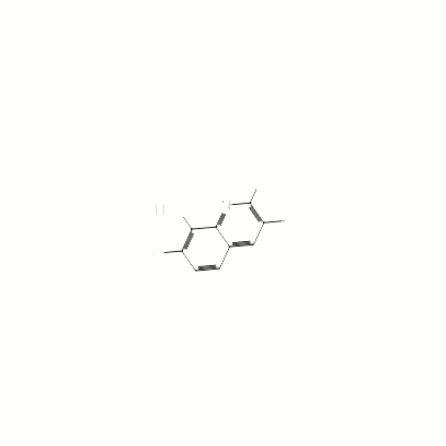 Cc1cc2ccc(C)c(C)c2nc1Cl